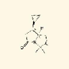 CC1(C)OC[C@@H]2[C@H](C3CC3)CC(=O)N21